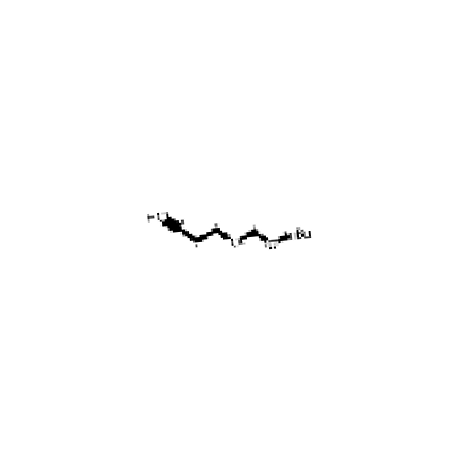 C#CCCOCOCCCC